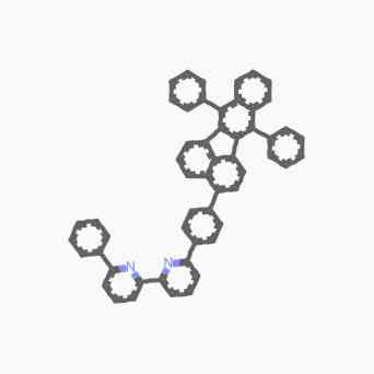 c1ccc(-c2cccc(-c3cccc(-c4ccc(-c5ccc6c7c(cccc57)-c5c-6c(-c6ccccc6)c6ccccc6c5-c5ccccc5)cc4)n3)n2)cc1